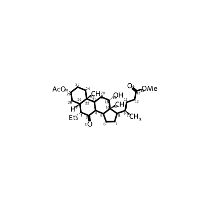 CC[C@H]1C(=O)C2C3CCC([C@H](C)CCC(=O)OC)[C@@]3(C)[C@@H](O)CC2[C@@]2(C)CC[C@@H](OC(C)=O)C[C@@H]12